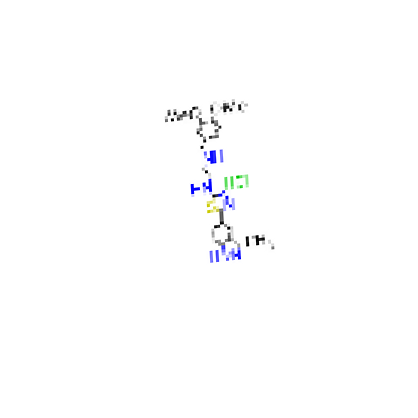 COc1ccc(CNCCNc2nnc(-c3ccc4[nH]nc(C)c4c3)s2)cc1OC.Cl